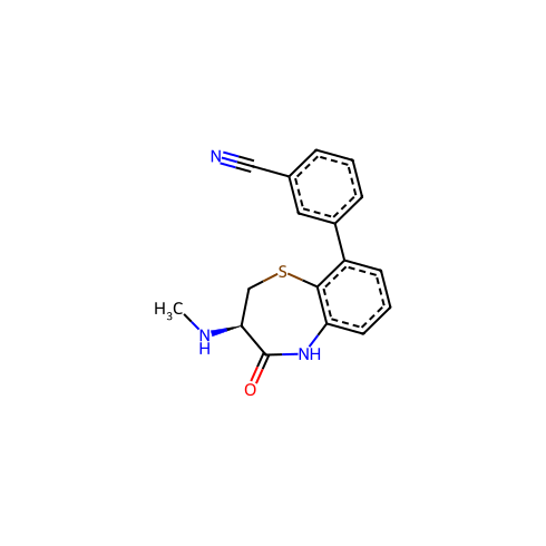 CN[C@H]1CSc2c(cccc2-c2cccc(C#N)c2)NC1=O